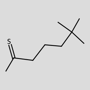 CC(=S)CCCC(C)(C)C